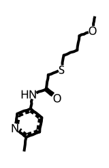 COCCCSCC(=O)Nc1ccc(C)nc1